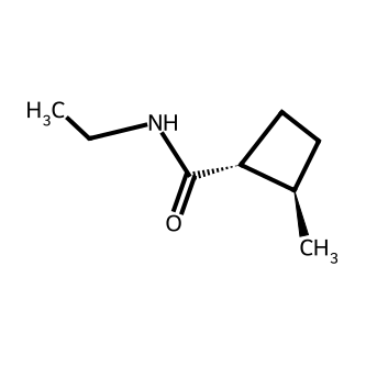 CCNC(=O)[C@@H]1CC[C@H]1C